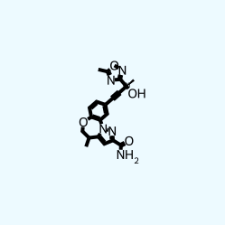 Cc1nc([C@](C)(O)C#Cc2ccc3c(c2)-n2nc(C(N)=O)cc2C(C)CO3)no1